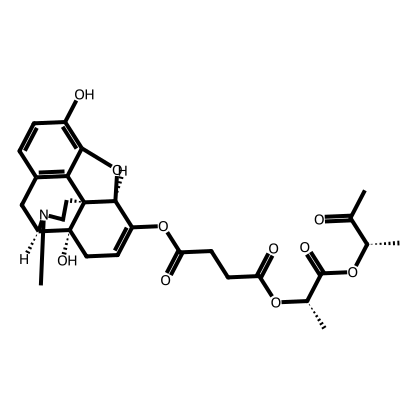 CC(=O)[C@H](C)OC(=O)[C@H](C)OC(=O)CCC(=O)OC1=CC[C@@]2(O)[C@H]3Cc4ccc(O)c5c4[C@@]2(CCN3C)[C@H]1O5